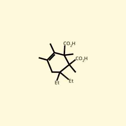 CCC1(CC)CC(C)=C(C)C(C)(C(=O)O)C1(C)C(=O)O